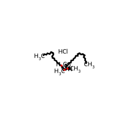 CCCCC/C=C\C/C=C\CCCCCCCCOC(C)CC1(CC(C)OCCCCCCCC/C=C\C/C=C\CCCCC)CN(C)C1.Cl